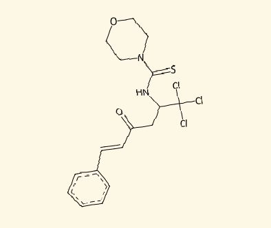 O=C(/C=C/c1ccccc1)CC(NC(=S)N1CCOCC1)C(Cl)(Cl)Cl